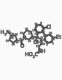 CCc1cccc(-c2c(Cl)cccc2C(O)(CCCNC(=O)O)C2CCCN(C(=O)[C@@H]3CC[C@H](N)C3)C2)c1